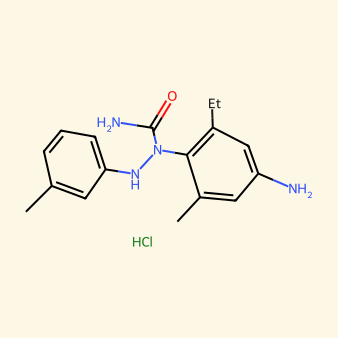 CCc1cc(N)cc(C)c1N(Nc1cccc(C)c1)C(N)=O.Cl